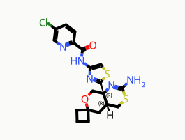 NC1=N[C@@]2(c3nc(NC(=O)c4ccc(Cl)cn4)cs3)COC3(CCC3)C[C@H]2CS1